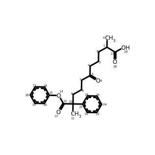 CC(CCCC(=O)CCCC(C)(C(=O)Oc1ccccc1)c1ccccc1)C(=O)O